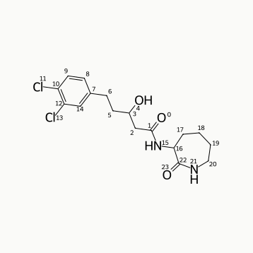 O=C(CC(O)CCc1ccc(Cl)c(Cl)c1)NC1CCCCNC1=O